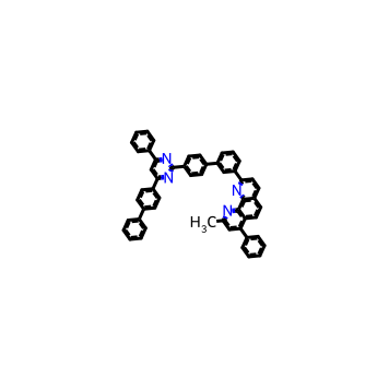 Cc1cc(-c2ccccc2)c2ccc3ccc(-c4cccc(-c5ccc(-c6nc(-c7ccccc7)cc(-c7ccc(-c8ccccc8)cc7)n6)cc5)c4)nc3c2n1